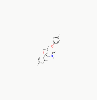 C=CN(C)CC1(c2ccc(C)cc2C)CC(COc2ccc(C)cc2)CO1